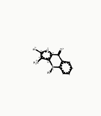 CC(C)B1c2ccccc2C(=O)c2oc(C(C)C)c(N)c21